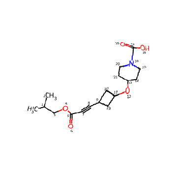 CC(C)COC(=O)C#CC1CC(OC2CCN(C(=O)O)CC2)C1